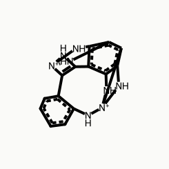 c1ccc2c(c1)N[N+]13Nc4c(c1c1c5c4C4=C2[N+](N4)(N5)N1)N3